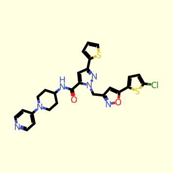 O=C(NC1CCN(c2ccncc2)CC1)c1cc(-c2cccs2)nn1Cc1cc(-c2ccc(Cl)s2)on1